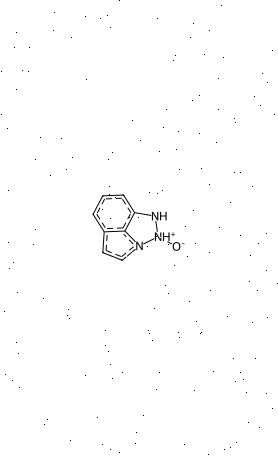 [O-][NH+]1Nc2cccc3ccn1c23